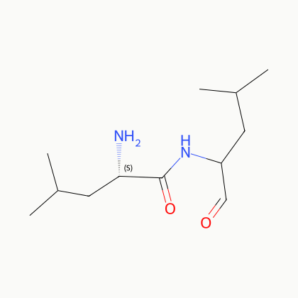 CC(C)CC(C=O)NC(=O)[C@@H](N)CC(C)C